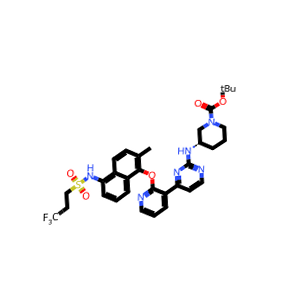 Cc1ccc2c(NS(=O)(=O)CCC(F)(F)F)cccc2c1Oc1ncccc1-c1ccnc(N[C@H]2CCCN(C(=O)OC(C)(C)C)C2)n1